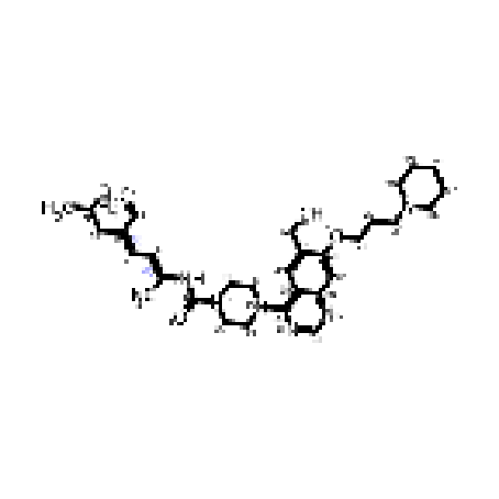 C=C/C(=C\C=C(/C)NC(=O)N1CCN(c2ncnc3cc(OCCCN4CCCCC4)c(CC)cc23)CC1)CC(C)C